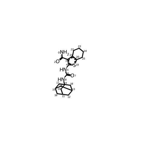 NC(=O)c1c(NC(=O)NC23CC4CC(CC(C4)C2)C3)sc2c1CCCC2